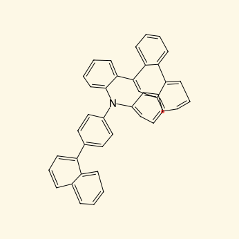 c1ccc(N(c2ccc(-c3cccc4ccccc34)cc2)c2ccccc2-c2cc3ccccc3c3ccccc23)cc1